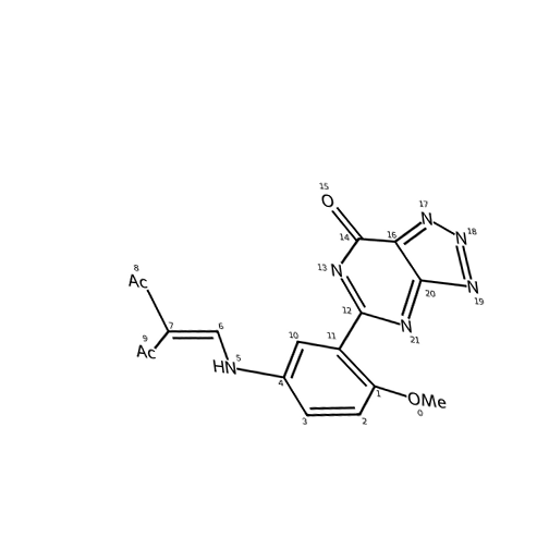 COc1ccc(NC=C(C(C)=O)C(C)=O)cc1C1=NC(=O)C2=NN=NC2=N1